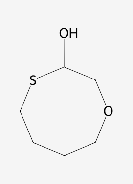 OC1COCCCCS1